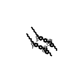 CCCCCCCCOc1ccc(-c2ccc(C(=O)Oc3ccc(CCC)cc3F)cc2)cc1F.CCCCCCCCOc1ccc(-c2ccc(C(=O)Oc3ccc(CCCC)cc3F)cc2)cc1F